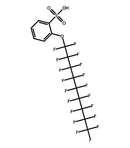 O=S(=O)(O)c1ccccc1OC(F)(F)C(F)(F)C(F)(F)C(F)(F)C(F)(F)C(F)(F)C(F)(F)C(F)(F)C(F)(F)F